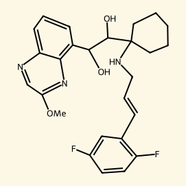 COc1cnc2cccc(C(O)C(O)C3(NC/C=C/c4cc(F)ccc4F)CCCCC3)c2n1